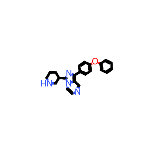 c1ccc(Oc2ccc(-c3nc(C4CCCNC4)n4ccncc34)cc2)cc1